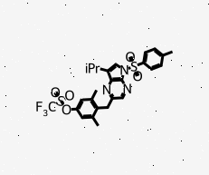 Cc1ccc(S(=O)(=O)n2cc(C(C)C)c3nc(Cc4c(C)cc(OS(=O)(=O)C(F)(F)F)cc4C)cnc32)cc1